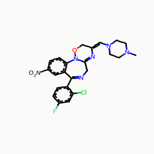 CN1CCN(/C=C2/CON3C(=N2)CN=C(c2ccc(F)cc2Cl)c2cc([N+](=O)[O-])ccc23)CC1